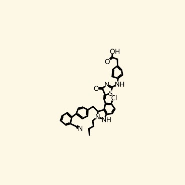 CCCCN1Nc2ccc(Cl)c(C=C3SC(Nc4ccc(CC(=O)O)cc4)=NC3=O)c2C1Cc1ccc(-c2ccccc2C#N)cc1